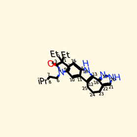 CCC1(CC)C(=O)N(CCC(C)C)c2cc3c4c([nH]c3cc21)-c1n[nH]cc1CCC4